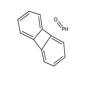 O=P.c1ccc2c(c1)-c1ccccc1-2